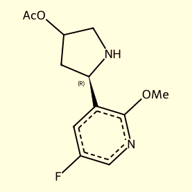 COc1ncc(F)cc1[C@H]1CC(OC(C)=O)CN1